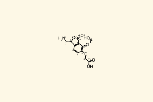 NCC1OB(O)c2c1ccc(OCC(=O)O)c2Cl.OCl